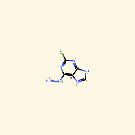 NNc1nc(Cl)nc2[nH]cnc12